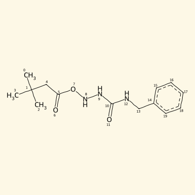 CC(C)(C)CC(=O)ONNC(=O)NCc1ccccc1